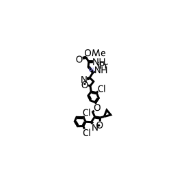 COC(=O)C(=N)/C=C(\NC(C)C)C1=NOC(c2ccc(OCc3c(-c4c(Cl)cccc4Cl)noc3C3CC3)cc2Cl)C1